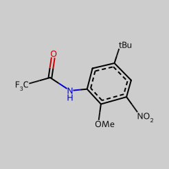 COc1c(NC(=O)C(F)(F)F)cc(C(C)(C)C)cc1[N+](=O)[O-]